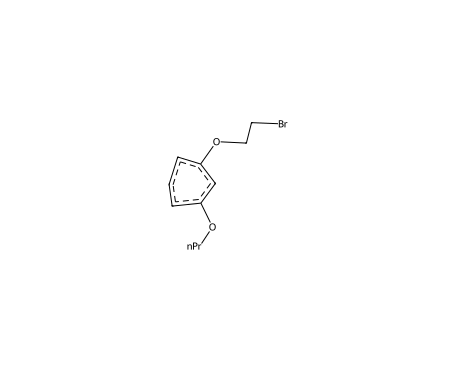 CCCOc1cccc(OCCBr)c1